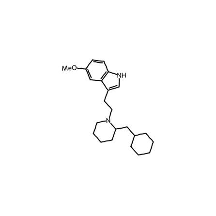 COc1ccc2[nH]cc(CCN3CCCCC3CC3CCCCC3)c2c1